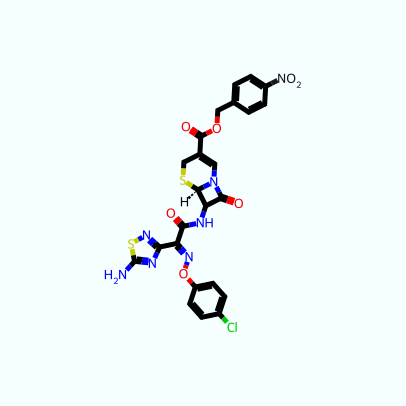 Nc1nc(C(=NOc2ccc(Cl)cc2)C(=O)NC2C(=O)N3C=C(C(=O)OCc4ccc([N+](=O)[O-])cc4)CS[C@H]23)ns1